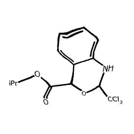 CC(C)OC(=O)C1OC(C(Cl)(Cl)Cl)Nc2ccccc21